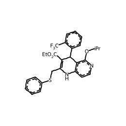 CCOC(=O)C1=C(CSc2ccccc2)Nc2ccnc(OC(C)C)c2C1c1ccccc1C(F)(F)F